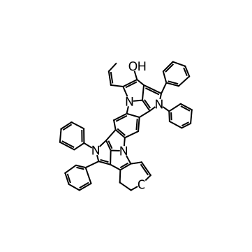 C/C=C\c1c(O)c2c(-c3ccccc3)n(-c3ccccc3)c3c4cc5c(cc4n1c23)c1c2c(c3c(n52)C=CCCC3)c(-c2ccccc2)n1-c1ccccc1